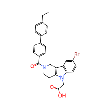 CCc1ccc(-c2ccc(C(=O)N3CCc4c(c5cc(Br)ccc5n4CC(=O)O)C3)cc2)cc1